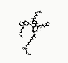 COCCCN1CCOC2CCC(COC3CN(C(=O)OCCCCCCON(O)O)CC(CNC(=O)CC4C5COCC54)C3c3ccc(COCCOC)cc3)CC21